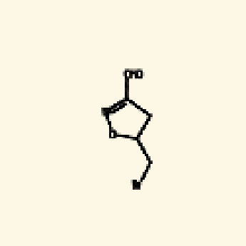 O=CC1=NOC(CBr)C1